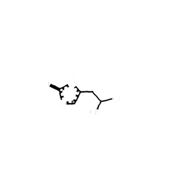 O=c1occ(CC(Cl)Cl)o1